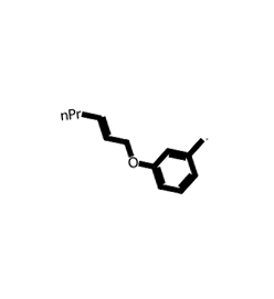 [CH2]c1cccc(OCC=CCCC)c1